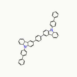 C1=CC2c3cc(-c4ccc(C5=CC6C7C=CC=CC7N(c7ccc(-c8ccccc8)cc7)C6C=C5)cc4)ccc3N(c3ccc(-c4ccccc4)cc3)C2C=C1